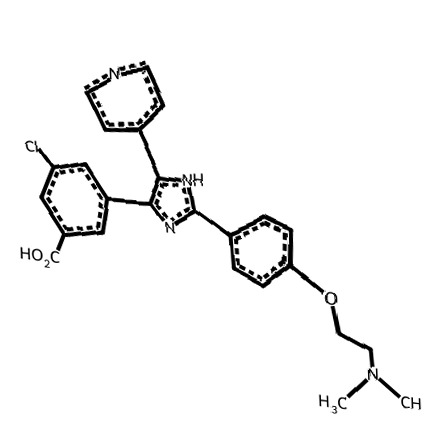 CN(C)CCOc1ccc(-c2nc(-c3cc(Cl)cc(C(=O)O)c3)c(-c3ccncc3)[nH]2)cc1